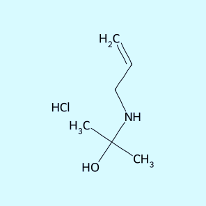 C=CCNC(C)(C)O.Cl